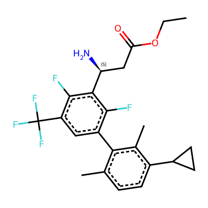 CCOC(=O)C[C@H](N)c1c(F)c(-c2c(C)ccc(C3CC3)c2C)cc(C(F)(F)F)c1F